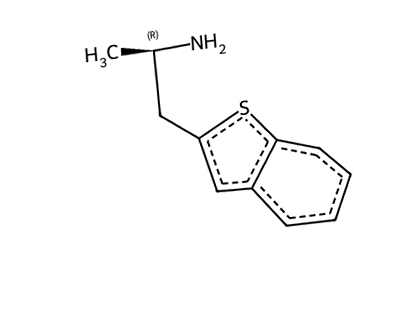 C[C@@H](N)Cc1cc2ccccc2s1